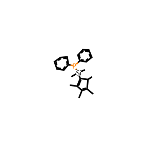 CC1=C(C)C(C)C([Si](C)(C)P(c2ccccc2)c2ccccc2)=C1C